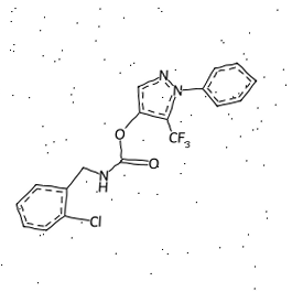 O=C(NCc1ccccc1Cl)Oc1cnn(-c2ccccc2)c1C(F)(F)F